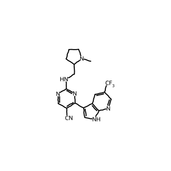 CN1CCCC1CNc1ncc(C#N)c(-c2c[nH]c3ncc(C(F)(F)F)cc23)n1